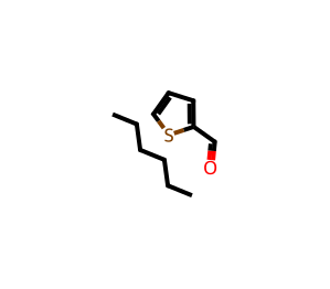 CCCCCC.O=Cc1cccs1